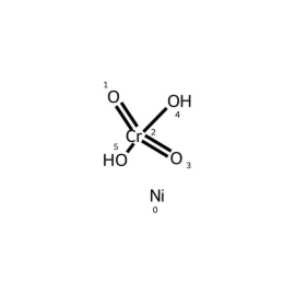 [Ni].[O]=[Cr](=[O])([OH])[OH]